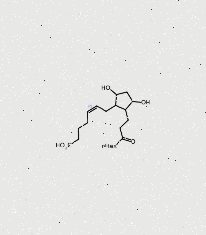 CCCCCCC(=O)CCC1C(O)CC(O)C1C/C=C\CCCC(=O)O